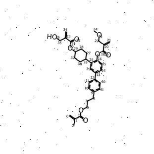 C=C(C)C(=O)OCCCc1ccc(-c2ccc(OC(=O)C(=C)COC)c(C3CCC(OC(=O)C(=C)CO)CC3)c2)cc1